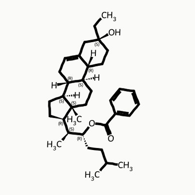 CC[C@]1(O)CC[C@H]2C(=CC[C@@H]3[C@@H]2CC[C@]2(C)[C@@H]([C@H](C)[C@@H](CCC(C)C)OC(=O)c4ccccc4)CC[C@@H]32)C1